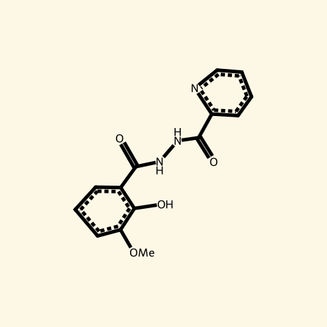 COc1cccc(C(=O)NNC(=O)c2ccccn2)c1O